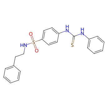 O=S(=O)(NCCc1ccccc1)c1ccc(NC(=S)Nc2ccccc2)cc1